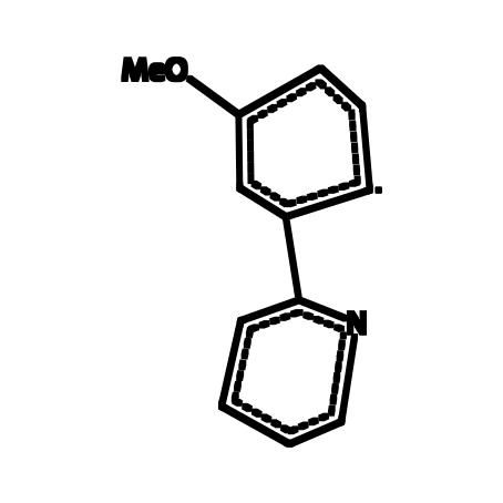 COc1cc[c]c(-c2ccccn2)c1